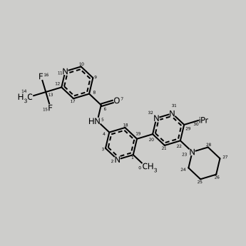 Cc1ncc(NC(=O)c2ccnc(C(C)(F)F)c2)cc1-c1cc(N2CCCCC2)c(C(C)C)nn1